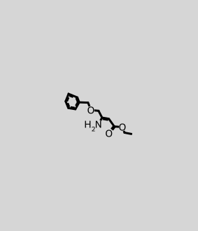 CCOC(=O)C=C(N)COCc1ccccc1